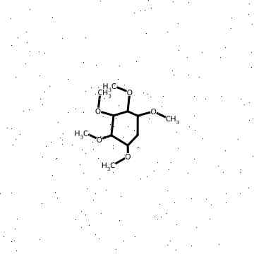 COC1CC(OC)C(OC)C(OC)C1OC